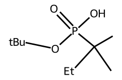 CCC(C)(C)P(=O)(O)OC(C)(C)C